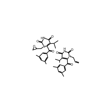 C=CCn1c(C(=O)c2cc(C)cc(C)c2)c(C(C)C)c(=O)[nH]c1=O.Cc1cc(C)cc(C(=O)c2c(C(C)C)c(=O)[nH]c(=O)n2CC2CO2)c1